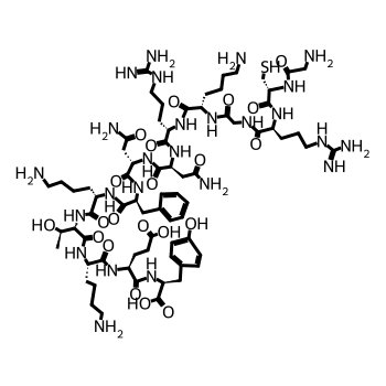 C[C@@H](O)[C@H](NC(=O)[C@H](CCCCN)NC(=O)[C@H](Cc1ccccc1)NC(=O)[C@H](CC(N)=O)NC(=O)[C@H](CC(N)=O)NC(=O)[C@H](CCCNC(=N)N)NC(=O)[C@H](CCCCN)NC(=O)CNC(=O)[C@H](CCCNC(=N)N)NC(=O)[C@H](CS)NC(=O)CN)C(=O)N[C@@H](CCCCN)C(=O)N[C@@H](CCC(=O)O)C(=O)N[C@@H](Cc1ccc(O)cc1)C(=O)O